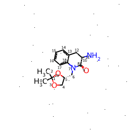 CC1(C)OC[C@@H](CN2C(=O)C(N)Cc3ccccc32)O1